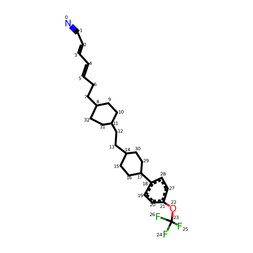 N#CC=CC=CCCC1CCC(CCC2CCC(c3ccc(OC(F)(F)F)cc3)CC2)CC1